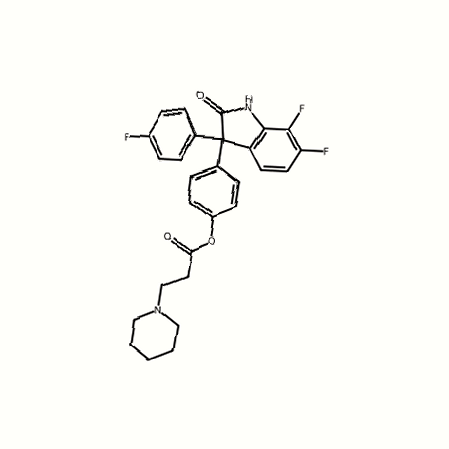 O=C(CCN1CCCCC1)Oc1ccc(C2(c3ccc(F)cc3)C(=O)Nc3c2ccc(F)c3F)cc1